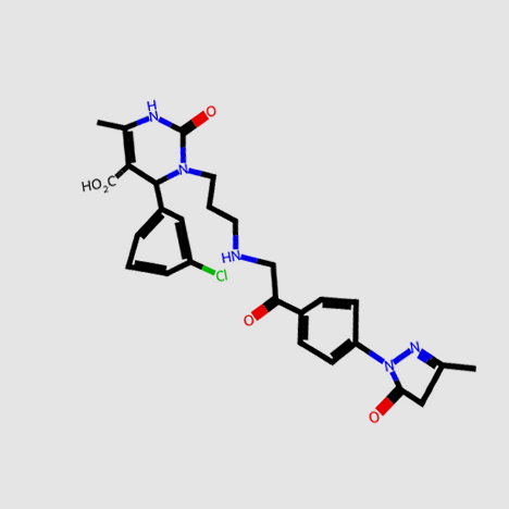 CC1=NN(c2ccc(C(=O)CNCCCN3C(=O)NC(C)=C(C(=O)O)C3c3cccc(Cl)c3)cc2)C(=O)C1